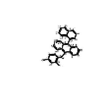 Cc1ccc(Sc2c3ccccc3c(-c3cccc4ccccc34)c3cnccc23)c(C)c1